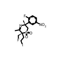 CC1=N[C@](C)(c2cc([N+](=O)[O-])ccc2F)CS(=O)(=O)[C@]1(CF)CCI